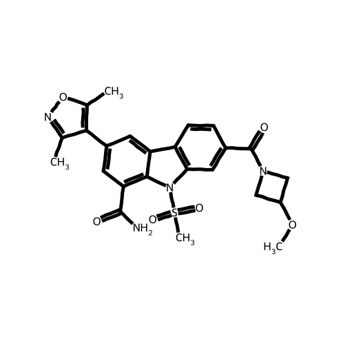 COC1CN(C(=O)c2ccc3c4cc(-c5c(C)noc5C)cc(C(N)=O)c4n(S(C)(=O)=O)c3c2)C1